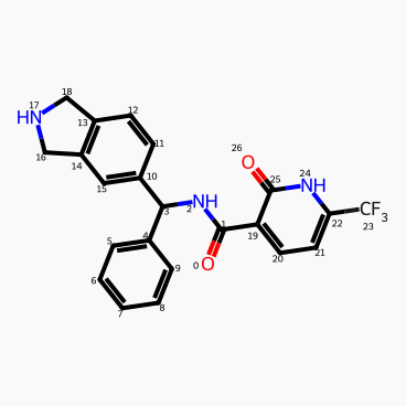 O=C(NC(c1ccccc1)c1ccc2c(c1)CNC2)c1ccc(C(F)(F)F)[nH]c1=O